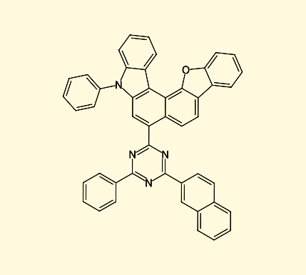 c1ccc(-c2nc(-c3ccc4ccccc4c3)nc(-c3cc4c(c5ccccc5n4-c4ccccc4)c4c3ccc3c5ccccc5oc34)n2)cc1